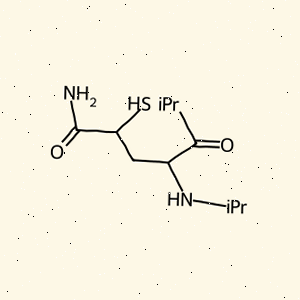 CC(C)NC(CC(S)C(N)=O)C(=O)C(C)C